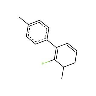 Cc1ccc(C2=C(F)C(C)CC=C2)cc1